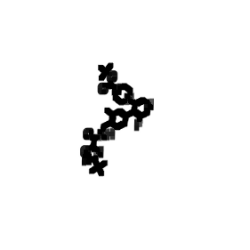 Cc1cc(-c2c(F)cncc2N2CCN(C(=O)OC(C)(C)C)CC2)ccc1CNC(=O)c1nc(C(C)(C)C)no1